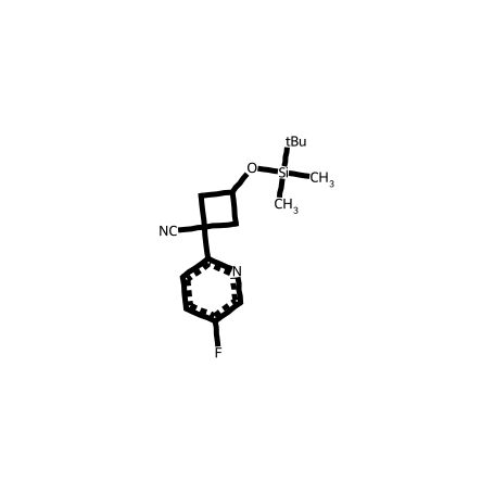 CC(C)(C)[Si](C)(C)OC1CC(C#N)(c2ccc(F)cn2)C1